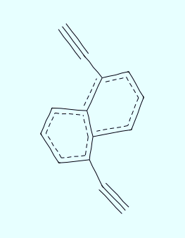 C#Cc1cccc2c(C#C)cccc12